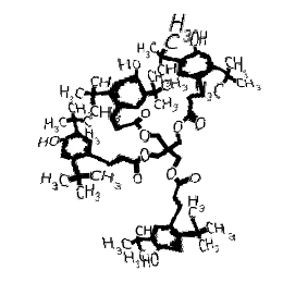 CC(C)(C)c1cc(CCC(=O)OCC(COC(=O)CCc2cc(C(C)(C)C)c(O)cc2C(C)(C)C)(COC(=O)CCc2cc(C(C)(C)C)c(O)cc2C(C)(C)C)COC(=O)CCc2cc(C(C)(C)C)c(O)cc2C(C)(C)C)c(C(C)(C)C)cc1O